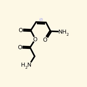 NCC(=O)OC(=O)/C=C\C(N)=O